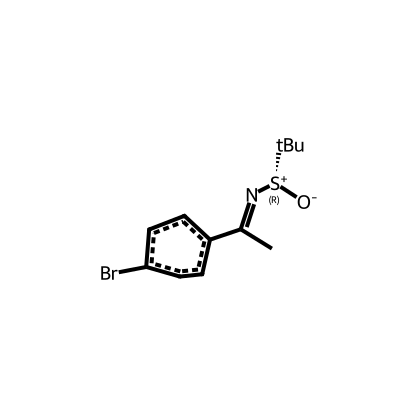 CC(=N[S@@+]([O-])C(C)(C)C)c1ccc(Br)cc1